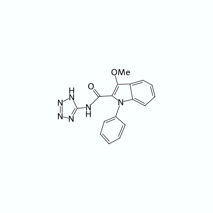 COc1c(C(=O)Nc2nnn[nH]2)n(-c2ccccc2)c2ccccc12